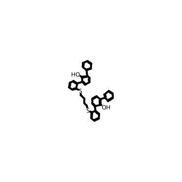 Oc1c(-c2ccccc2)cccc1-c1ccccc1SCCCCSc1ccccc1-c1cccc(-c2ccccc2)c1O